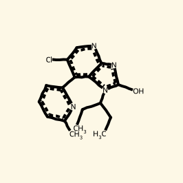 CCC(CC)n1c(O)nc2ncc(Cl)c(-c3cccc(C)n3)c21